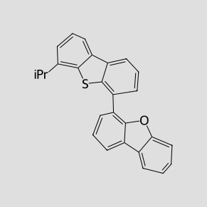 CC(C)c1cccc2c1sc1c(-c3cccc4c3oc3ccccc34)cccc12